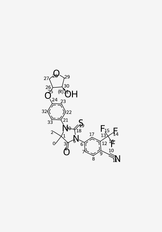 CC1(C)C(=O)N(c2ccc(C#N)c(C(F)(F)F)c2)C(=S)N1c1ccc(OC2COC[C@H]2O)cc1